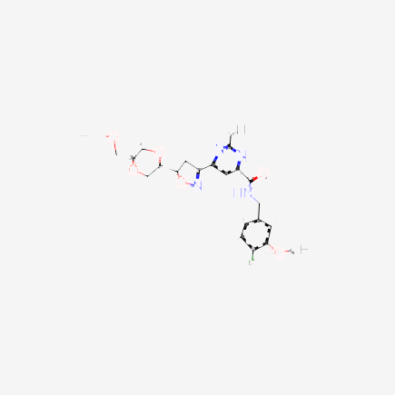 COC[C@@H]1CO[C@@H](C2CC(c3cc(C(=O)NCc4ccc(F)c(OC)c4)nc(C)n3)=NO2)CO1